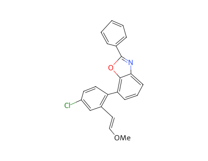 COC=Cc1cc(Cl)ccc1-c1cccc2nc(-c3ccccc3)oc12